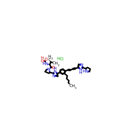 CCCCCc1cc(-c2cnc(C3CCCN3C(=O)[C@@H](NC(=O)O)C(C)C)[nH]2)ccc1C#CC#Cc1cnc(C2CCCN2)[nH]1.Cl